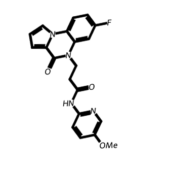 COc1ccc(NC(=O)CCn2c(=O)c3cccn3c3ccc(F)cc32)nc1